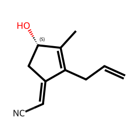 C=CCC1=C(C)[C@@H](O)CC1=CC#N